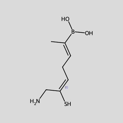 CC(=CC/C=C(/S)CN)B(O)O